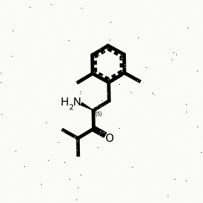 Cc1cccc(C)c1C[C@H](N)C(=O)C(C)C